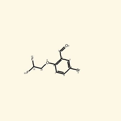 O=Cc1cc(Br)ccc1OCC(F)F